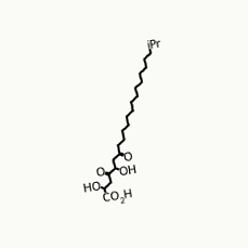 CC(C)CCCCCCCCCCCCCCC(=O)CC(O)C(=O)CC(O)C(=O)O